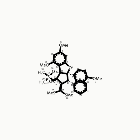 COc1ccc([C@@]23Oc4cc(OC)cc(OC)c4[C@]2(O[Si](C)(C)C)C(=O)C(=C(SC)SC)[C@H]3c2ccccc2)cc1